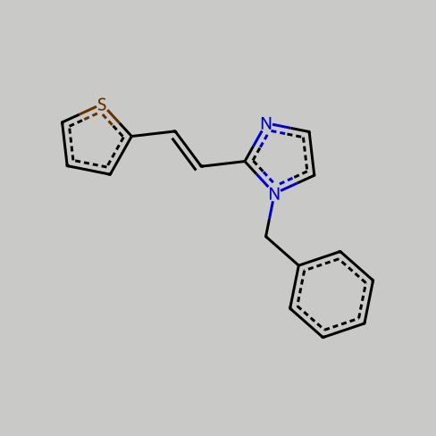 C(=Cc1nccn1Cc1ccccc1)c1cccs1